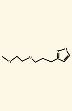 COCCOCCCc1ccon1